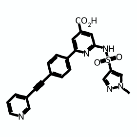 Cn1cc(S(=O)(=O)Nc2cc(C(=O)O)cc(-c3ccc(C#Cc4cccnc4)cc3)n2)cn1